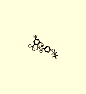 COC(=O)c1cc(Br)cc(C)c1N(C)S(=O)(=O)c1ccc(O[Si](C)(C)C(C)(C)C)cc1